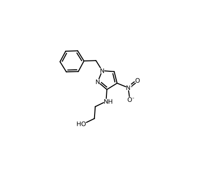 O=[N+]([O-])c1cn(Cc2ccccc2)nc1NCCO